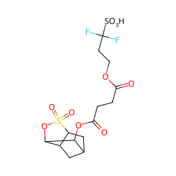 O=C(CCC(=O)OC1C2CC3C1OS(=O)(=O)C3C2)OCCC(F)(F)S(=O)(=O)O